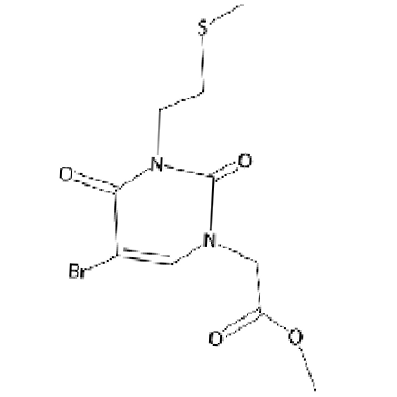 COC(=O)Cn1cc(Br)c(=O)n(CCSC)c1=O